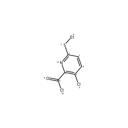 CCSc1ccc(Cl)c(C(=O)Cl)n1